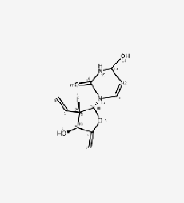 C=C[C@@]1(F)[C@H](O)C(=C)O[C@H]1N1C=CC(O)NC1=O